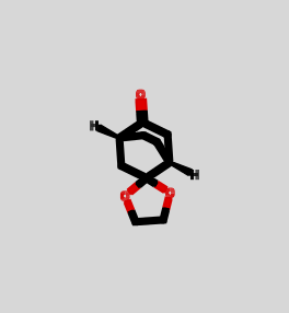 O=C1C[C@H]2CC[C@@H]1CC21OCCO1